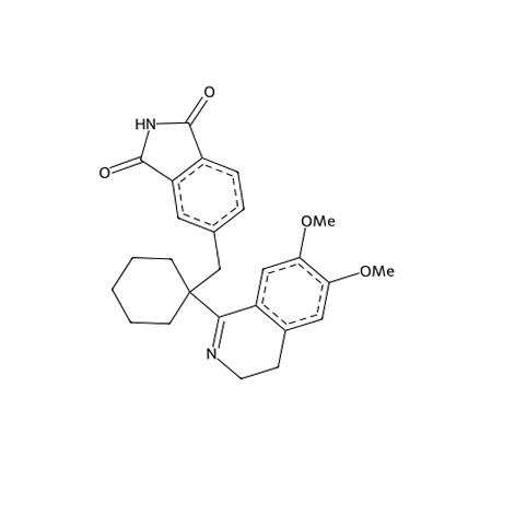 COc1cc2c(cc1OC)C(C1(Cc3ccc4c(c3)C(=O)NC4=O)CCCCC1)=NCC2